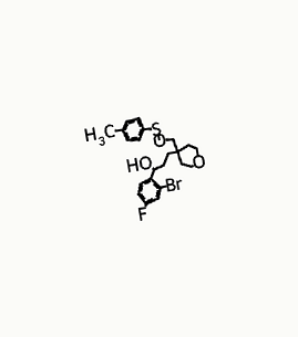 Cc1ccc(SOCC2(CCC(O)c3ccc(F)cc3Br)CCOCC2)cc1